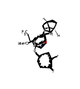 COc1cc(N2C[C@H]3CC[C@@H](C2)[C@@H]3Nc2nc(Oc3ccc(F)c(F)c3)n(CC(F)(F)F)n2)ccn1